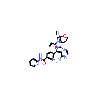 C=CC(=O)N1C[C@@H]2C[C@@]1(c1nc(-c3ccc(C(=O)Nc4ccccn4)cc3)c3c(N)nccn13)CCO2